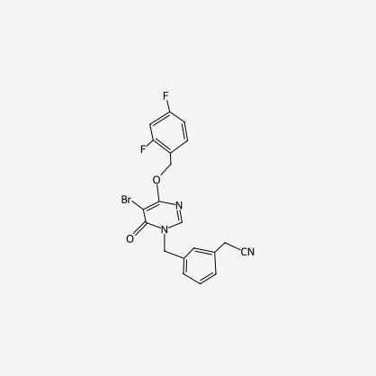 N#CCc1cccc(Cn2cnc(OCc3ccc(F)cc3F)c(Br)c2=O)c1